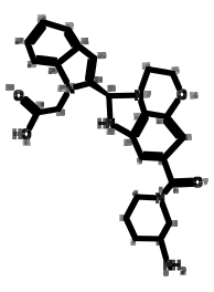 NC1CCCN(C(=O)c2cc3c4c(c2)OCCN4[C@H](c2cc4ccccc4n2CC(=O)O)N3)C1